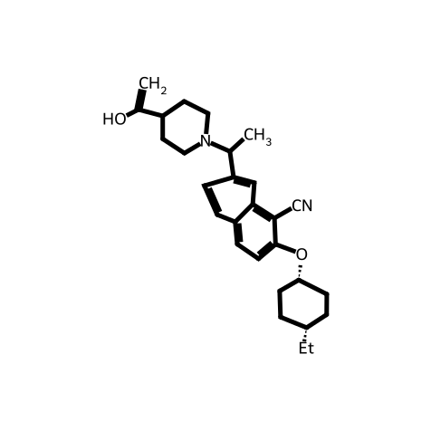 C=C(O)C1CCN(C(C)c2ccc3ccc(O[C@H]4CC[C@@H](CC)CC4)c(C#N)c3c2)CC1